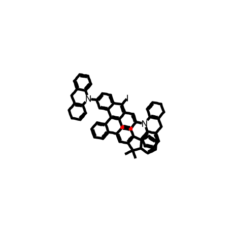 CC1(C)c2cc(-c3ccccc3-c3c4ccc(N5C6=C(CCC=C6)Cc6ccccc65)cc4c(I)c4ccc(N5C6=C(CCC=C6)Cc6ccccc65)cc34)ccc2C2C=CC=CC21